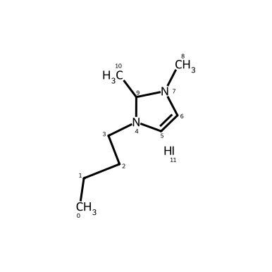 CCCCN1C=CN(C)C1C.I